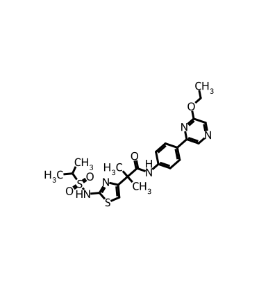 CCOc1cncc(-c2ccc(NC(=O)C(C)(C)c3csc(NS(=O)(=O)C(C)C)n3)cc2)n1